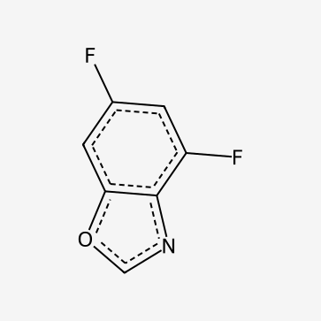 Fc1cc(F)c2ncoc2c1